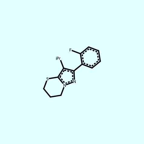 CC(C)c1c(-c2ccccc2F)nn2c1SCCC2